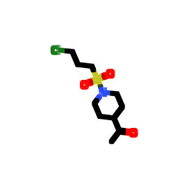 CC(=O)C1CCN(S(=O)(=O)CCCCl)CC1